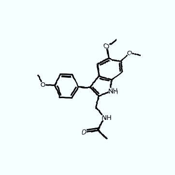 COc1ccc(-c2c(CNC(C)=O)[nH]c3cc(OC)c(OC)cc23)cc1